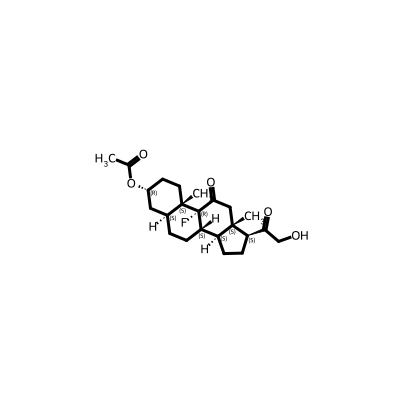 CC(=O)O[C@@H]1CC[C@@]2(C)[C@@H](CC[C@H]3[C@@H]4CC[C@H](C(=O)CO)[C@@]4(C)CC(=O)[C@@]32F)C1